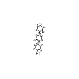 CCc1ccc(-c2ccc(-c3ccccc3)cc2)cc1